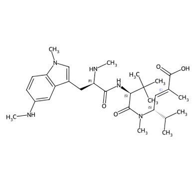 CNc1ccc2c(c1)c(C[C@@H](NC)C(=O)N[C@H](C(=O)N(C)[C@H](/C=C(\C)C(=O)O)C(C)C)C(C)(C)C)cn2C